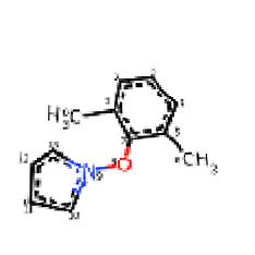 Cc1cccc(C)c1On1c[c]cc1